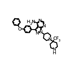 Nc1ncnc2c1c(-c1ccc(Oc3ccccc3)cc1)nn2C1CCN(C2(C(F)(F)F)CCNCC2)CC1